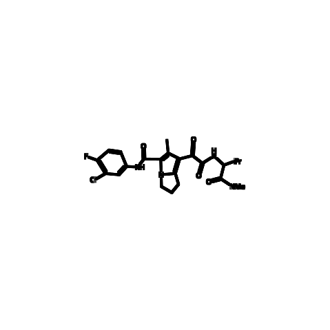 CNC(=O)C(NC(=O)C(=O)c1c(C)c(C(=O)Nc2ccc(F)c(Cl)c2)n2c1CCC2)C(C)C